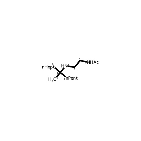 CCCCCCCC(C)(CCCCC)NCCNC(C)=O